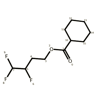 O=C(OCCC(F)C(F)F)C1CCCCC1